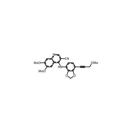 COCC#Cc1ccc(Nc2c(C#N)cnc3cc(OC)c(OC)cc23)c2c1OCO2